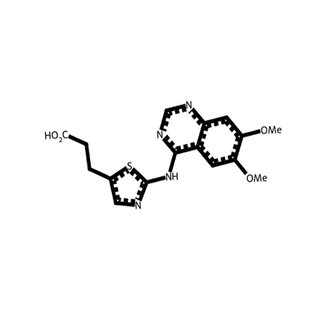 COc1cc2ncnc(Nc3ncc(CCC(=O)O)s3)c2cc1OC